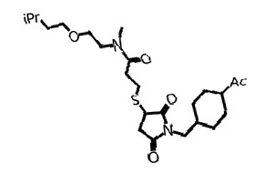 CC(=O)C1CCC(CN2C(=O)CC(SCCC(=O)N(C)CCOCCC(C)C)C2=O)CC1